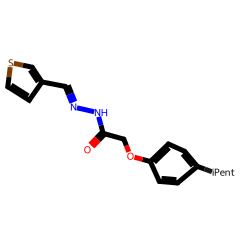 CCCC(C)c1ccc(OCC(=O)N/N=C/c2ccsc2)cc1